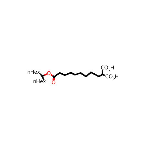 CCCCCCC(CCCCCC)OC(=O)CCCCCCCCC(C(=O)O)C(=O)O